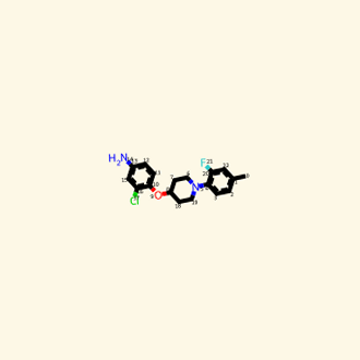 Cc1ccc(N2CCC(Oc3ccc(N)cc3Cl)CC2)c(F)c1